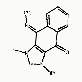 CC(C)N1CN(C)C2=C1C(=O)c1ccccc1C2=NO